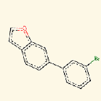 Brc1cccc(-c2ccc3ccoc3c2)c1